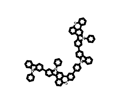 c1ccc(-n2c3ccccc3c3ccc(-c4ccc5c6c7cccc8c7c(cc6n(-c6ccccc6)c5c4)-c4cc(-c5ccc(-n6c7ccccc7c7cc(-c9ccc%10c%11c%12cccc%13c%12c(cc%11n(-c%11ccccc%11)c%10c9)-c9ccccc9S%13)ccc76)cc5)ccc4S8)cc32)cc1